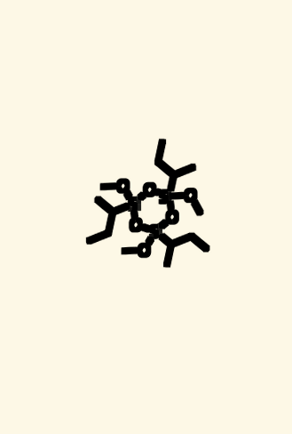 CCC(C)[Si]1(OC)O[Si](OC)(C(C)CC)O[Si](OC)(C(C)CC)O1